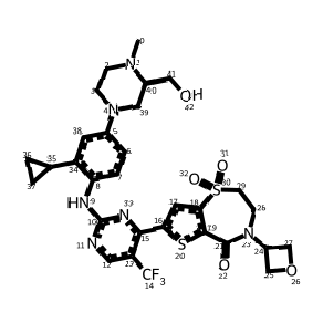 CN1CCN(c2ccc(Nc3ncc(C(F)(F)F)c(-c4cc5c(s4)C(=O)N(C4COC4)CCS5(=O)=O)n3)c(C3CC3)c2)CC1CO